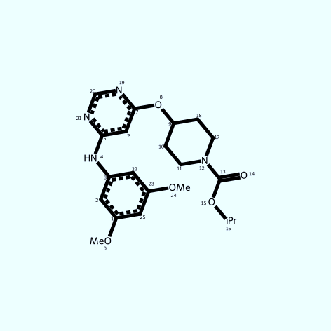 COc1cc(Nc2cc(OC3CCN(C(=O)OC(C)C)CC3)ncn2)cc(OC)c1